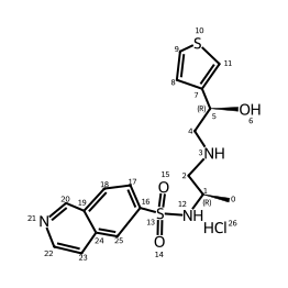 C[C@H](CNC[C@H](O)c1ccsc1)NS(=O)(=O)c1ccc2cnccc2c1.Cl